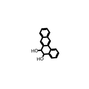 OC1c2ccccc2-c2cc3ccccc3cc2C1O